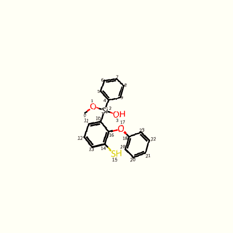 CO[Si](O)(c1ccccc1)c1cccc(S)c1Oc1ccccc1